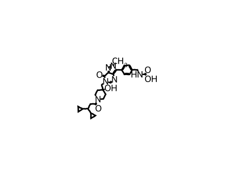 Cn1nc2c(=O)n(CC3(O)CCN(C(=O)CC(C4CC4)C4CC4)CC3)cnc2c1-c1ccc(CNC(=O)O)cc1